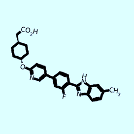 Cc1ccc2nc(-c3ccc(-c4ccc(O[C@H]5CC[C@H](CC(=O)O)CC5)nc4)cc3F)[nH]c2c1